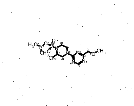 COCc1ncnc(N2CCN(S(=O)(=O)ON(C)C)C(Cl)C2)n1